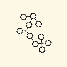 c1ccc(-c2cccc(-c3ccccc3)c2-c2ccc(N(c3ccccc3)c3ccc(-c4cccc([Si](c5ccccc5)(c5ccccc5)c5ccccc5)c4)cc3)cc2)cc1